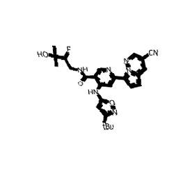 CC(C)(C)c1cc(Nc2cc(-c3ccc4cc(C#N)cnn34)ncc2C(=O)NCC(F)C(C)(C)O)on1